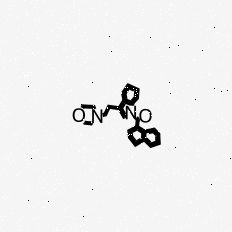 O=C(c1cccc2ccccc12)n1cc(CCN2CCOCC2)c2ccccc21